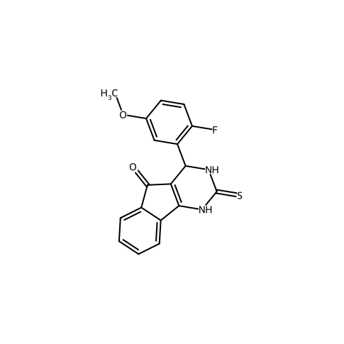 COc1ccc(F)c(C2NC(=S)NC3=C2C(=O)c2ccccc23)c1